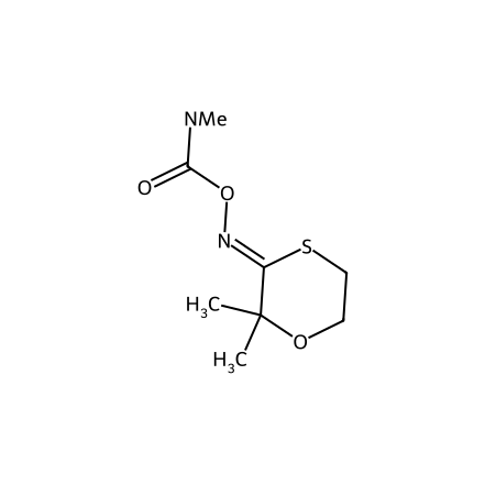 CNC(=O)ON=C1SCCOC1(C)C